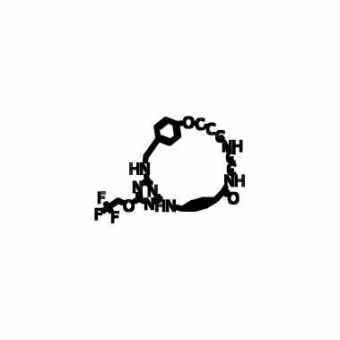 O=C1NCCNCCCOc2ccc(cc2)CNc2nc(nc(OCC(F)(F)F)n2)Nc2ccc1cc2